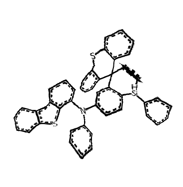 c1ccc(N(c2ccc3c(c2)C2(c4ccccc4Sc4ccccc42)c2ccccc2[SiH]3c2ccccc2)c2cccc3c2sc2ccccc23)cc1